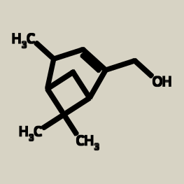 CC1C=C(CO)C2CC1C2(C)C